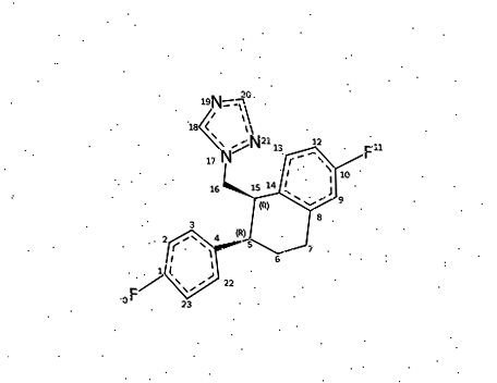 Fc1ccc([C@@H]2CCc3cc(F)ccc3[C@@H]2Cn2cncn2)cc1